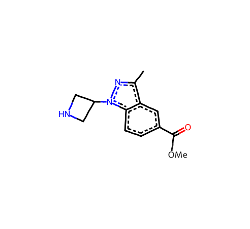 COC(=O)c1ccc2c(c1)c(C)nn2C1CNC1